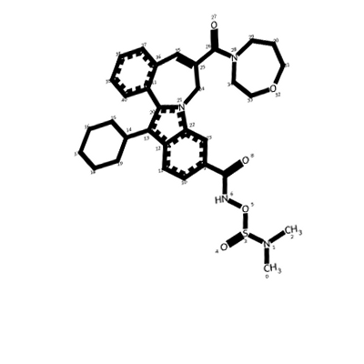 CN(C)S(=O)ONC(=O)c1ccc2c(C3CCCCC3)c3n(c2c1)CC(C(=O)N1CCCOCC1)=Cc1ccccc1-3